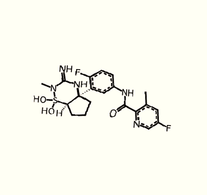 Cc1cc(F)cnc1C(=O)Nc1ccc(F)c([C@]23CCC[C@H]2S(O)(O)N(C)C(=N)N3)c1